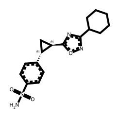 NS(=O)(=O)c1ccc([C@@H]2C[C@H]2c2nc(C3CCCCC3)no2)cc1